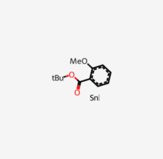 COc1ccccc1C(=O)OC(C)(C)C.[Sn]